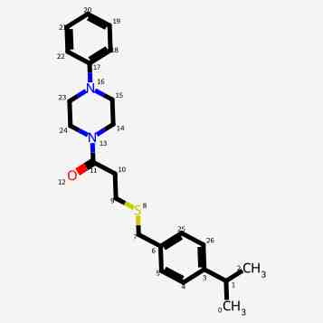 CC(C)c1ccc(CSCCC(=O)N2CCN(c3ccccc3)CC2)cc1